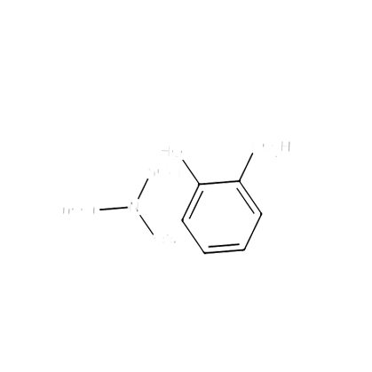 CCCCCCCCN(CCCCCCCC)CCCCCCCC.O=C(O)c1ccccc1O